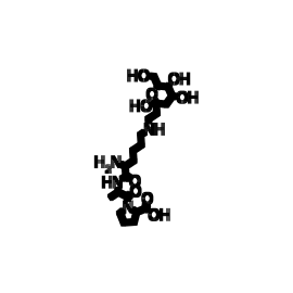 CC(NC(=O)C(N)CCCCNCCC1(O)CC(O)C(O)C(CO)O1)C(=O)N1CCCC1C(=O)O